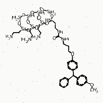 COc1ccc(C(c2ccccc2)c2ccc(OCCCNC(=O)NCC[SiH]3O[SiH2]O[SiH]4O[SiH]5O[SiH2]O[SiH](CCN)O[Si](CCN)(O5)O[Si](CCN)(O3)O4)cc2)cc1